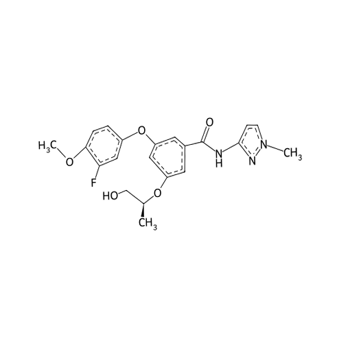 COc1ccc(Oc2cc(O[C@@H](C)CO)cc(C(=O)Nc3ccn(C)n3)c2)cc1F